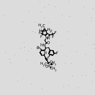 C[C@@H]1[C@@H]2c3c(C(F)(F)F)nn(CC(=O)N[C@@H](Cc4cc(F)cc(F)c4)c4nc(C#CC(C)(C)S(C)(=O)=O)ccc4Br)c3C(F)(F)[C@H]12